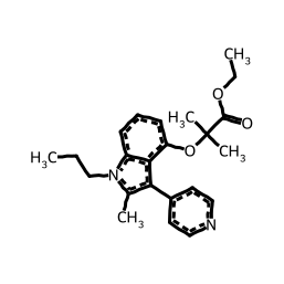 CCCn1c(C)c(-c2ccncc2)c2c(OC(C)(C)C(=O)OCC)cccc21